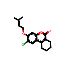 CC(C)=CCOc1cc2oc(=O)c3c(c2cc1Cl)CCCC3